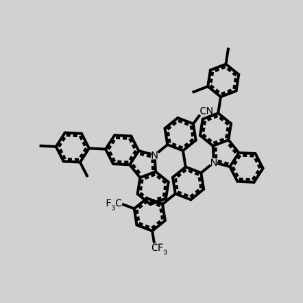 Cc1ccc(-c2ccc3c(c2)c2ccccc2n3-c2ccc(C#N)cc2-c2cc(-c3cc(C(F)(F)F)cc(C(F)(F)F)c3)ccc2-n2c3ccccc3c3cc(-c4ccc(C)cc4C)ccc32)c(C)c1